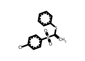 C=C(Sc1ccccc1)S(=O)(=O)c1ccc(Cl)cc1